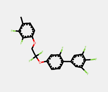 Cc1ccc(OCC(F)(F)Oc2ccc(-c3cc(F)c(F)c(F)c3)c(F)c2)c(F)c1F